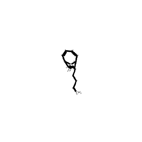 CCCCCP1(=O)C2C=CC=CC1C=C2